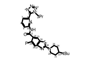 CC(C)n1nnnc1-c1cccc(NC(=O)c2cc3sc(N4CCC(C(C)(C)C)CC4)nc3cc2F)n1